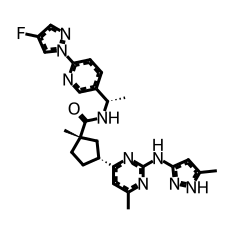 Cc1cc([C@@H]2CC[C@](C)(C(=O)N[C@@H](C)c3ccc(-n4cc(F)cn4)nc3)C2)nc(Nc2cc(C)[nH]n2)n1